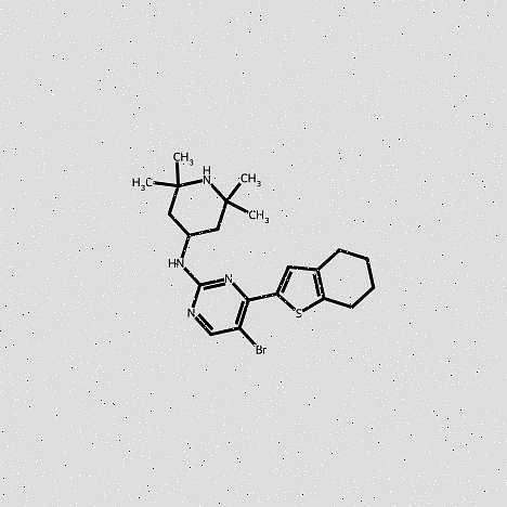 CC1(C)CC(Nc2ncc(Br)c(-c3cc4c(s3)CCCC4)n2)CC(C)(C)N1